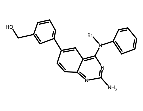 Nc1nc(N(Br)c2ccccc2)c2cc(-c3cccc(CO)c3)ccc2n1